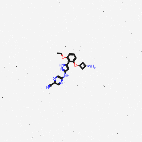 CCOc1cccc(O[C@H]2C[C@H](N)C2)c1-c1cc(Nc2cnc(C#N)cn2)n[nH]1